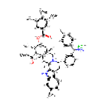 COC(=O)[C@H]1[C@H]2C[C@@H]3c4[nH]c5cc(OC)ccc5c4CCN3C[C@H]2C[C@@H](OC(=O)c2cc(OC)c(OC)c(OC)c2)[C@@H]1OC.Cc1ccc(C(N)c2ccccc2)cc1.Cl